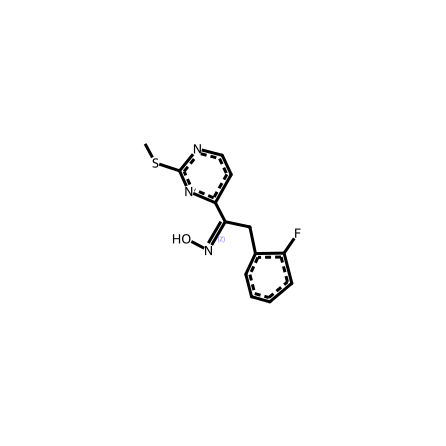 CSc1nccc(/C(Cc2ccccc2F)=N\O)n1